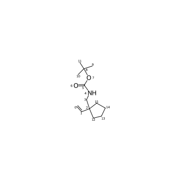 C=CC1(CNC(=O)OC(C)(C)C)CCCC1